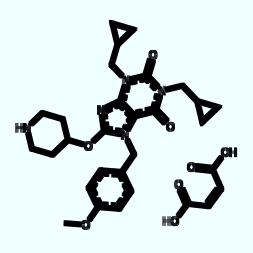 COc1ccc(Cn2c(OC3CCNCC3)nc3c2c(=O)n(CC2CC2)c(=O)n3CC2CC2)cc1.O=C(O)/C=C\C(=O)O